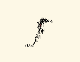 CCCCCCCCCCCCCCC=CC(=O)SCCNC(=O)CCNC(=O)[C@H](O)C(C)(C)COP(=O)(O)OP(=O)(O)OC[C@H]1O[C@@H](n2cnc3c(N)ncnc32)[C@H](O)[C@@H]1OP(=O)(O)O